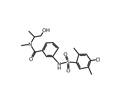 Cc1cc(S(=O)(=O)Nc2cccc(C(=O)N(C)C(C)CO)c2)c(C)cc1Cl